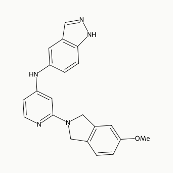 COc1ccc2c(c1)CN(c1cc(Nc3ccc4[nH]ncc4c3)ccn1)C2